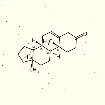 C[C@@]12CCC[C@H]1[C@@H]1CC=C3CC(=O)CC[C@]3(C)[C@H]1CC2